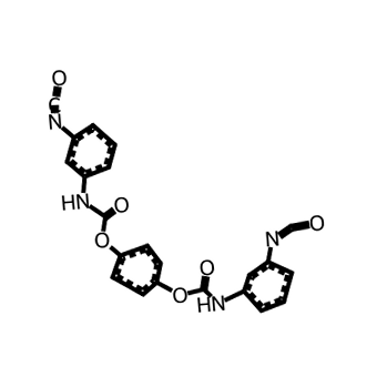 O=C=Nc1cccc(NC(=O)Oc2ccc(OC(=O)Nc3cccc(N=C=O)c3)cc2)c1